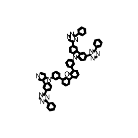 c1ccc(-c2nncc(-c3ccc4c(c3)c3cc(-c5ncnc(-c6ccccc6)n5)ccc3n4-c3cccc(-c4cccc5c4oc4c(-c6cccc(-n7c8ccncc8c8cc(-c9ncnc(-c%10ccccc%10)n9)ccc87)c6)cccc45)c3)n2)cc1